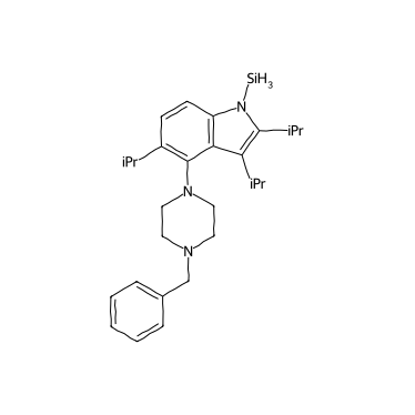 CC(C)c1ccc2c(c(C(C)C)c(C(C)C)n2[SiH3])c1N1CCN(Cc2ccccc2)CC1